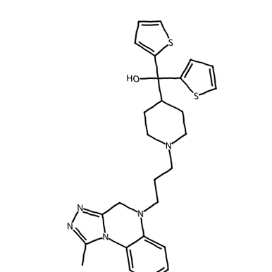 Cc1nnc2n1-c1ccccc1N(CCCN1CCC(C(O)(c3cccs3)c3cccs3)CC1)C2